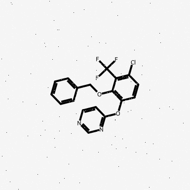 FC(F)(F)c1c(Cl)ccc(Oc2ccncn2)c1OCc1ccccc1